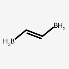 BC=CB